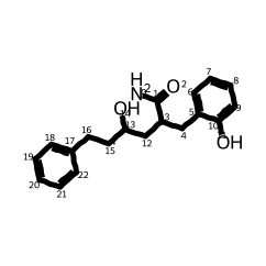 NC(=O)C(Cc1ccccc1O)CC(O)[CH]Cc1ccccc1